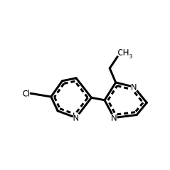 CCc1nccnc1-c1ccc(Cl)cn1